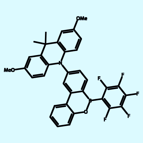 COc1ccc2c(c1)C(C)(C)c1cc(OC)ccc1N2c1ccc2c(c1)-c1ccccc1OB2c1c(F)c(F)c(F)c(F)c1F